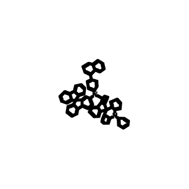 c1ccc(N2c3ccccc3C3(c4ccccc4-c4c(N(c5ccc(-c6cccc7ccccc67)cc5)c5ccc6c(c5)C5(c7ccccc7-c7ccccc75)c5ccccc5-6)cccc43)c3ccccc32)cc1